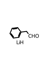 O=CCc1ccccc1.[LiH]